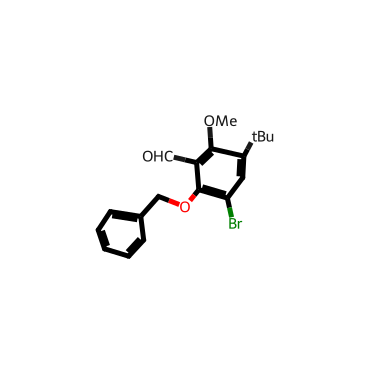 COc1c(C(C)(C)C)cc(Br)c(OCc2ccccc2)c1C=O